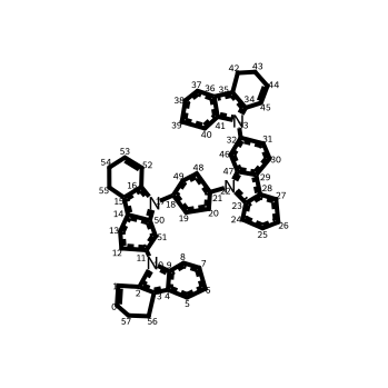 C1=Cc2c(c3ccccc3n2-c2ccc3c4c(n(-c5ccc(-n6c7ccccc7c7ccc(-n8c9c(c%10ccccc%108)CCC=C9)cc76)cc5)c3c2)C=CCC4)CC1